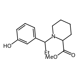 CCC(c1cccc(O)c1)N1CCCCC1C(=O)OC